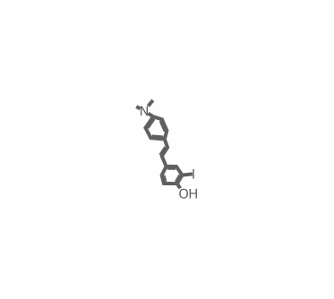 CN(C)c1ccc(/C=C/c2ccc(O)c(I)c2)cc1